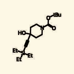 CC[Si](C#CC1(O)CCN(C(=O)OC(C)(C)C)CC1)(CC)CC